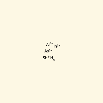 [Al+3].[As-3].[In+3].[SbH6-3]